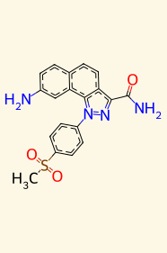 CS(=O)(=O)c1ccc(-n2nc(C(N)=O)c3ccc4ccc(N)cc4c32)cc1